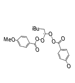 [CH2]CC(C)C[C](OOC(=O)c1ccc(OC)cc1)OOC(=O)c1ccc(OC)cc1